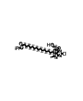 Cc1nc2nc(Cl)nc(S(=O)(=O)CCO)c2n1CCCCCCCCCCCCCCCC(=O)OC(C)C